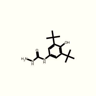 CC(C)(C)c1cc(NC(=O)NN)cc(C(C)(C)C)c1O